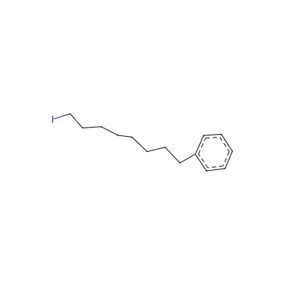 ICCCCCCCCc1ccccc1